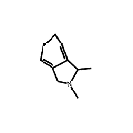 CC1C2=CCCC=C2CN1C